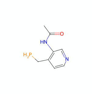 CC(=O)Nc1cnccc1CP